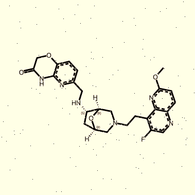 COc1ccc2ncc(F)c(CCN3C[C@H]4C[C@H](NCc5ccc6c(n5)NC(=O)CO6)[C@@H](C3)O4)c2n1